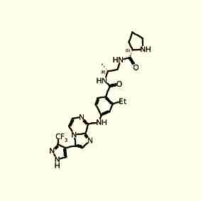 CCc1cc(Nc2nccn3c(-c4c[nH]nc4C(F)(F)F)cnc23)ccc1C(=O)N[C@H](C)CNC(=O)[C@@H]1CCCN1